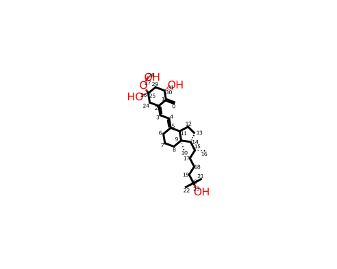 C=C1C(=CC=C2CCC[C@@]3(C)C2CC[C@@H]3[C@H](C)CCCC(C)(C)O)C[C@@](O)(OO)C[C@@H]1O